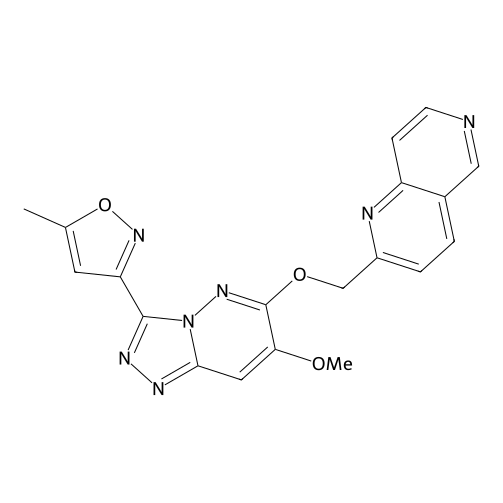 COc1cc2nnc(-c3cc(C)on3)n2nc1OCc1ccc2cnccc2n1